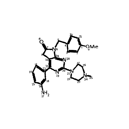 COc1ccc(CN2C(=O)Cc3c(-c4cccc(N)c4)nc(N4CCN(C)CC4)nc32)cc1